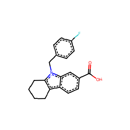 O=C(O)c1ccc2c3c(n(Cc4ccc(F)cc4)c2c1)CCCC3